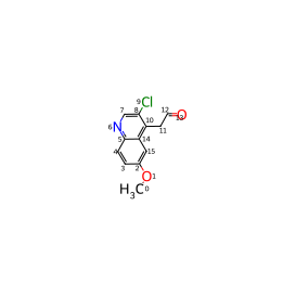 COc1ccc2ncc(Cl)c(CC=O)c2c1